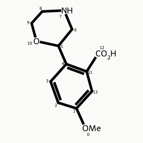 COc1ccc(C2CNCCO2)c(C(=O)O)c1